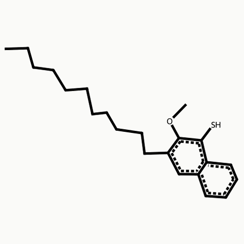 CCCCCCCCCCCc1cc2ccccc2c(S)c1OC